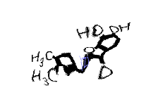 Cc1ccc(/C=C2\Oc3c(ccc(O)c3O)C2=O)cc1C